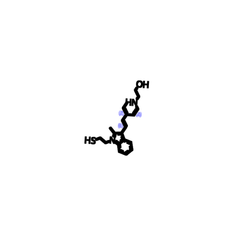 C/C=C(\C=C/NCCO)/C=C/c1c(C)n(CCS)c2ccccc12